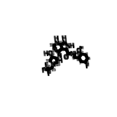 COC1CCC(F)CC1CNC(=O)C1NNC2NC=NC(N[C@@H]3CN(CC(F)(F)F)C[C@H]3O)C21